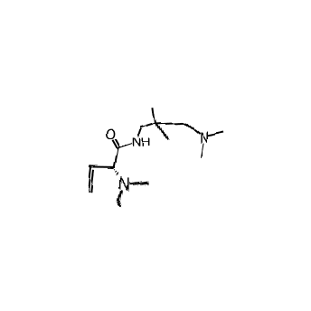 C=C[C@H](C(=O)NCC(C)(C)CN(C)C)N(C)C